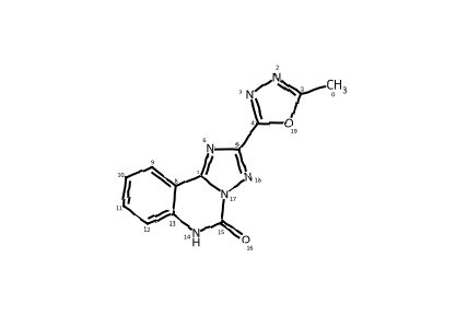 Cc1nnc(-c2nc3c4ccccc4[nH]c(=O)n3n2)o1